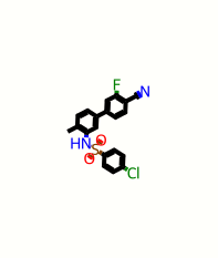 Cc1ccc(-c2ccc(C#N)c(F)c2)cc1NS(=O)(=O)c1ccc(Cl)cc1